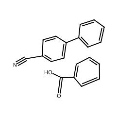 N#Cc1ccc(-c2ccccc2)cc1.O=C(O)c1ccccc1